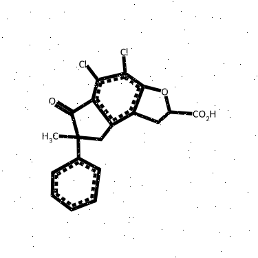 CC1(c2ccccc2)Cc2c3c(c(Cl)c(Cl)c2C1=O)OC(C(=O)O)C3